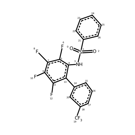 O=S(=O)(Nc1c(F)c(F)c(F)c(F)c1-c1cccc(C(F)(F)F)c1)c1ccccc1